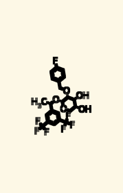 C[C@@H](O[C@H]1OC[C@H](O)[C@H](O)[C@H]1OCc1ccc(F)cc1)c1cc(C(F)(F)F)cc(C(F)(F)F)c1